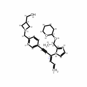 C=C/C=C(/C#Cc1ccc(CN2CC(CO)C2)nc1)n1ccnc1[C@H](C)OC1CCCCO1